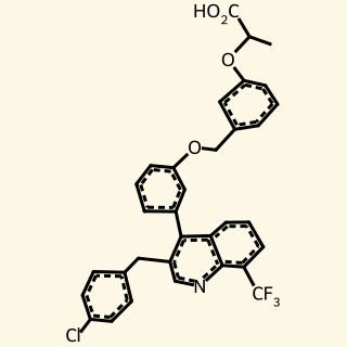 CC(Oc1cccc(COc2cccc(-c3c(Cc4ccc(Cl)cc4)cnc4c(C(F)(F)F)cccc34)c2)c1)C(=O)O